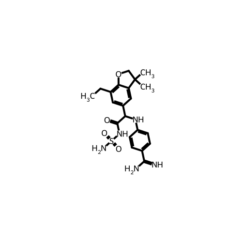 CCc1cc(C(Nc2ccc(C(=N)N)cc2)C(=O)NS(N)(=O)=O)cc2c1OCC2(C)C